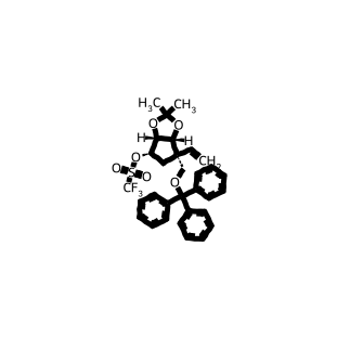 C=C[C@@]1(COC(c2ccccc2)(c2ccccc2)c2ccccc2)C[C@H](OS(=O)(=O)C(F)(F)F)[C@@H]2OC(C)(C)O[C@@H]21